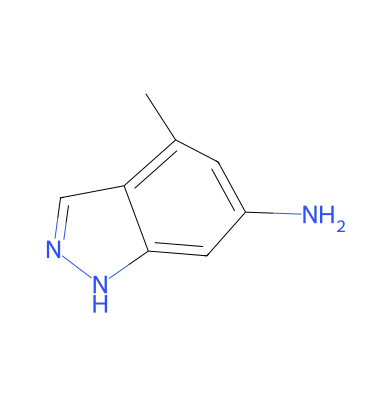 Cc1cc(N)cc2[nH]ncc12